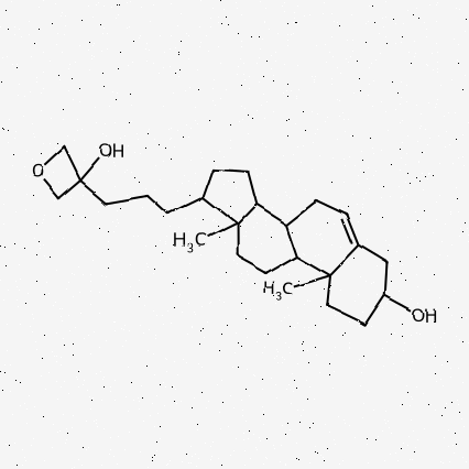 CC12CCC(O)CC1=CCC1C2CCC2(C)C(CCCC3(O)COC3)CCC12